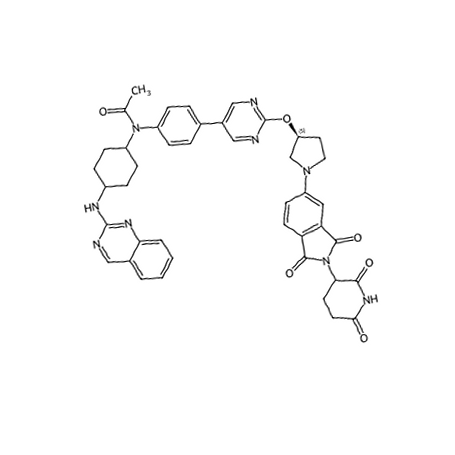 CC(=O)N(c1ccc(-c2cnc(O[C@H]3CCN(c4ccc5c(c4)C(=O)N(C4CCC(=O)NC4=O)C5=O)C3)nc2)cc1)C1CCC(Nc2ncc3ccccc3n2)CC1